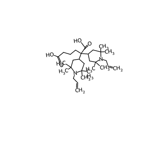 C=CCN1C(C)(C)CC(C(CCCC(=O)O)(C(=O)O)C2CC(C)(C)N(CC=C)C(C)(C)C2)CC1(C)C